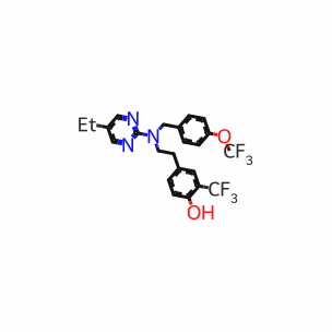 CCc1cnc(N(CCc2ccc(O)c(C(F)(F)F)c2)Cc2ccc(OC(F)(F)F)cc2)nc1